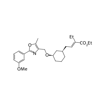 CCOC(=O)C(=CC[C@H]1CCC[C@@H](OCc2nc(-c3cccc(OC)c3)oc2C)C1)CC